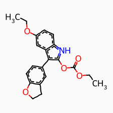 CCOC(=O)Oc1[nH]c2ccc(OCC)cc2c1-c1ccc2c(c1)CCO2